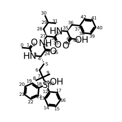 CC(=O)N[C@@H](CCC(C)(C)[Si](O)(c1ccccc1)c1ccccc1)C(=O)N[C@@H](CC(C)C)C(=O)N[C@@H](Cc1ccccc1)C(=O)O